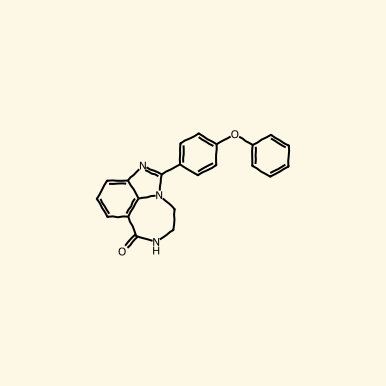 O=C1NCCn2c(-c3ccc(Oc4ccccc4)cc3)nc3cccc1c32